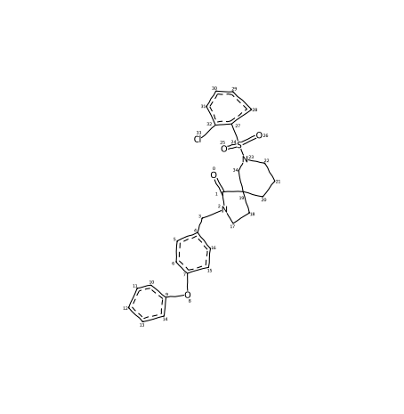 O=C1N(Cc2ccc(Oc3ccccc3)cc2)CCC12CCCN(S(=O)(=O)c1ccccc1Cl)C2